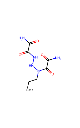 COCCN(NNC(=O)C(N)=O)C(=O)C(N)=O